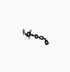 Fc1cc(N=C=S)cc(F)c1C#Cc1ccc(C2CCC(CC3=CCCC3)CC2)cc1